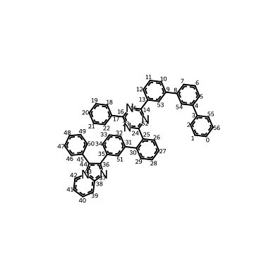 c1ccc(-c2cccc(-c3cccc(-c4nc(-c5ccccc5)nc(-c5ccccc5-c5cccc(-c6nc7ccccn7c6-c6ccccc6)c5)n4)c3)c2)cc1